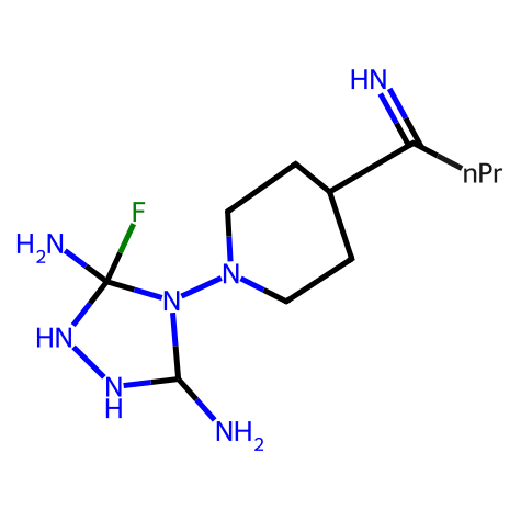 CCCC(=N)C1CCN(N2C(N)NNC2(N)F)CC1